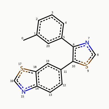 Cc1cccc(-c2ncsc2-c2ccc3ncsc3c2)c1